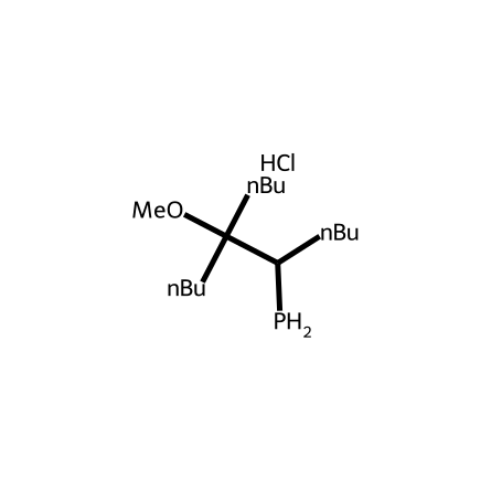 CCCCC(P)C(CCCC)(CCCC)OC.Cl